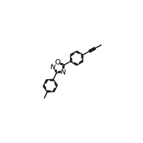 CC#Cc1ccc(-c2nc(-c3ccc(C)cc3)no2)cc1